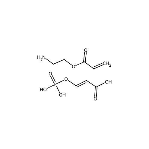 C=CC(=O)OCCN.O=C(O)C=COP(=O)(O)O